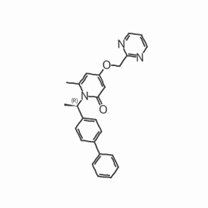 Cc1cc(OCc2ncccn2)cc(=O)n1[C@H](C)c1ccc(-c2ccccc2)cc1